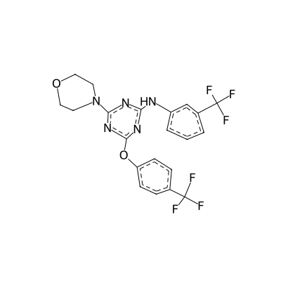 FC(F)(F)c1ccc(Oc2nc(Nc3cccc(C(F)(F)F)c3)nc(N3CCOCC3)n2)cc1